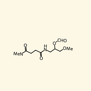 CNC(=O)CCC(=O)NCC(COC)OC=O